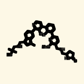 COc1nc(-c2cccc(-c3ccnc(-c4ccc5c(CNCC(C)(C)O)cn(C)c5c4)c3Cl)c2Cl)ccc1CNCC1CCC(=O)N1